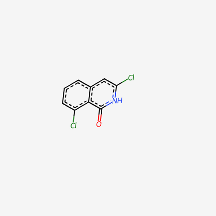 O=c1[nH]c(Cl)cc2cccc(Cl)c12